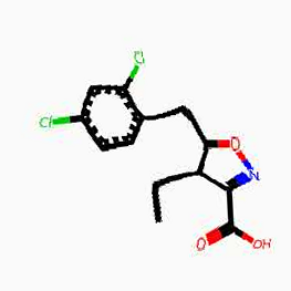 CCC1C(C(=O)O)=NOC1Cc1ccc(Cl)cc1Cl